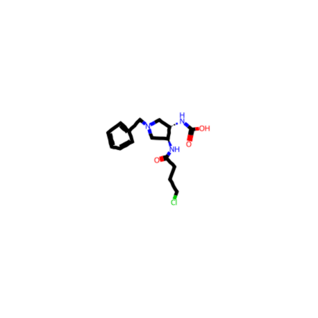 O=C(O)N[C@H]1CN(Cc2ccccc2)C[C@@H]1NC(=O)CCCCl